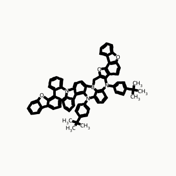 CC(C)(C)c1ccc(N2c3cccc4c3B(Cc3oc5c(ccc6oc7ccccc7c65)c32)c2ccc3c(c2N4c2ccc(C(C)(C)C)cc2)c2ccccc2n3-c2ccccc2-c2cccc3c2oc2ccccc23)cc1